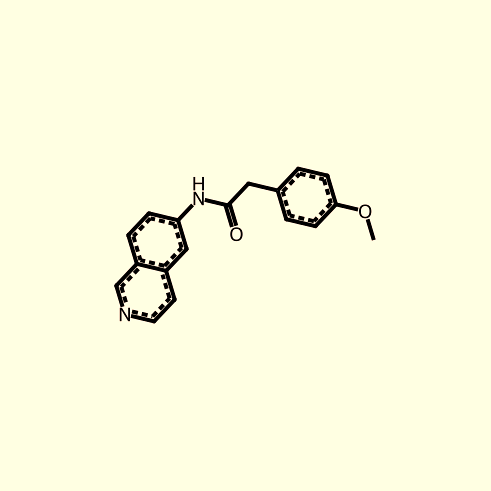 COc1ccc(CC(=O)Nc2ccc3cnccc3c2)cc1